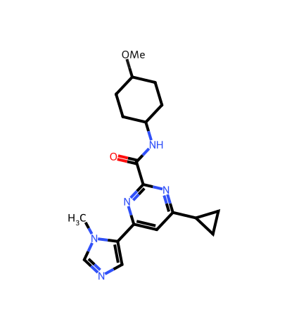 COC1CCC(NC(=O)c2nc(-c3cncn3C)cc(C3CC3)n2)CC1